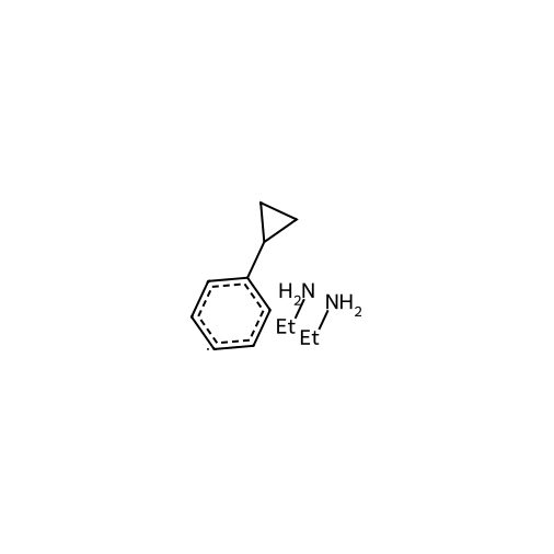 CCN.CCN.[c]1ccc(C2CC2)cc1